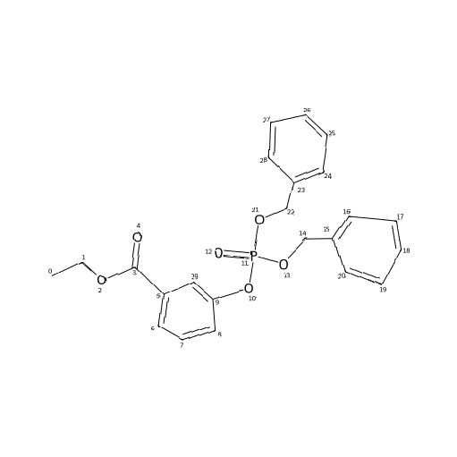 CCOC(=O)c1cccc(OP(=O)(OCc2ccccc2)OCc2ccccc2)c1